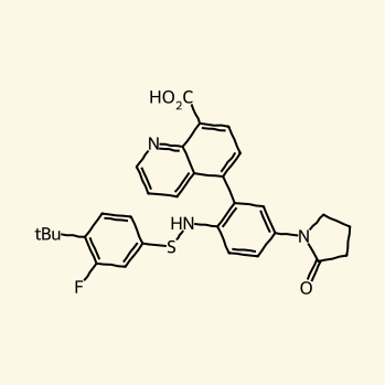 CC(C)(C)c1ccc(SNc2ccc(N3CCCC3=O)cc2-c2ccc(C(=O)O)c3ncccc23)cc1F